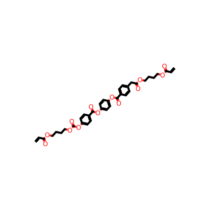 C=CC(=O)OCCCCOC(=O)Cc1ccc(C(=O)Oc2ccc(OC(=O)c3ccc(OC(=O)OCCCCOC(=O)C=C)cc3)cc2)cc1